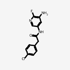 Nc1cc(NC(=O)Cc2ccc(Cl)cc2)cnc1F